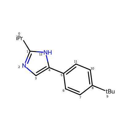 CC(C)c1ncc(-c2ccc(C(C)(C)C)cc2)[nH]1